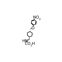 O=C(O)NC[C@H]1CC[C@H](COc2ccc([N+](=O)[O-])cc2)CC1